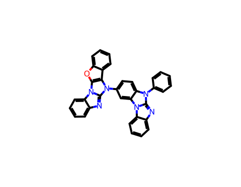 c1ccc(-n2c3ccc(-n4c5c6ccccc6oc5n5c6ccccc6nc45)cc3n3c4ccccc4nc23)cc1